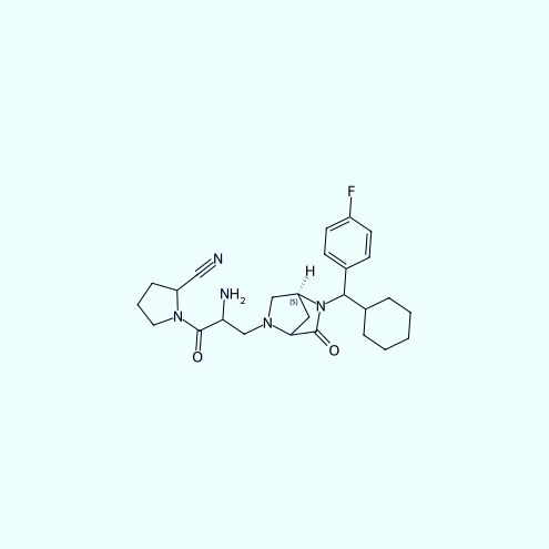 N#CC1CCCN1C(=O)C(N)CN1C[C@@H]2CC1C(=O)N2C(c1ccc(F)cc1)C1CCCCC1